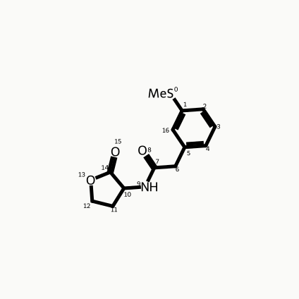 CSc1cccc(CC(=O)NC2CCOC2=O)c1